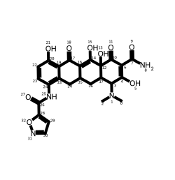 CN(C)C1C(O)=C(C(N)=O)C(=O)C2(O)C(O)=C3C(=O)c4c(O)ccc(NC(=O)c5ccno5)c4CC3CC12